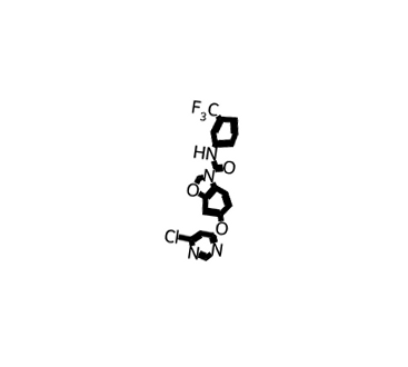 O=C(Nc1cccc(C(F)(F)F)c1)N1COc2cc(Oc3cc(Cl)ncn3)ccc21